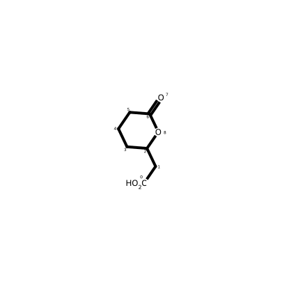 O=C(O)CC1CCCC(=O)O1